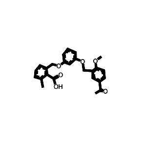 COc1ccc(C(C)=O)cc1COc1cccc(OCc2cccc(C)c2C(=O)O)c1